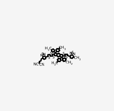 Cc1ccc(C2(c3ccc(C)cc3)c3cc4c(cc3-c3sc5cc(-c6ccc(C)c7nsnc67)sc5c32)C(c2ccc(C)cc2)(c2ccc(C)cc2)c2c-4sc3c2sc2cc(-c4ccc(CCC=C(C#N)C#N)c5nsnc45)sc23)cc1